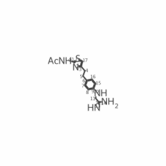 CC(=O)Nc1nc(CCc2ccc(NCC(=N)N)cc2)cs1